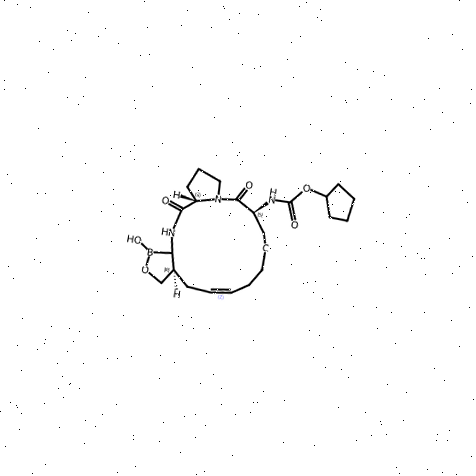 O=C(N[C@H]1CCCC/C=C\C[C@H]2COB(O)C2NC(=O)[C@@H]2CCCN2C1=O)OC1CCCC1